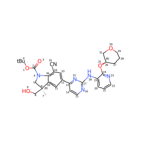 CC(C)(C)OC(=O)N1C[C@](C)(CO)c2cc(-c3ccnc(Nc4cccnc4O[C@@H]4CCCOC4)n3)cc(C#N)c21